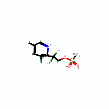 Cc1cnc(C(F)(F)COS(=O)(=O)C(F)(F)F)c(F)c1